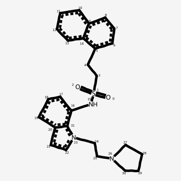 O=S(=O)(CCc1cccc2ccccc12)Nc1cccc2ccn(CCN3CCCC3)c12